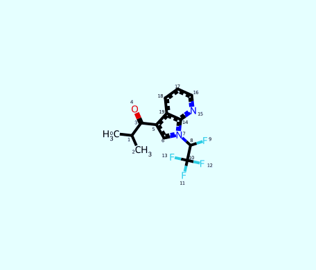 CC(C)C(=O)c1cn(C(F)C(F)(F)F)c2ncccc12